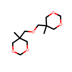 CC1(COCC2(C)COCOC2)COCOC1